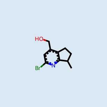 CC1CCc2c(CO)cc(Br)nc21